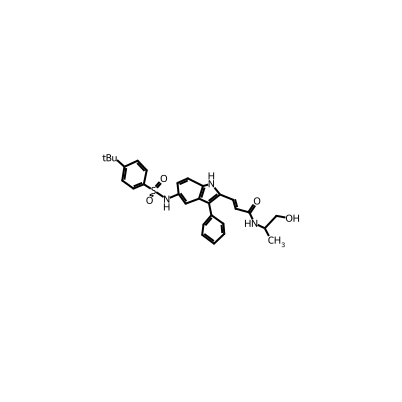 CC(CO)NC(=O)C=Cc1[nH]c2ccc(NS(=O)(=O)c3ccc(C(C)(C)C)cc3)cc2c1-c1ccccc1